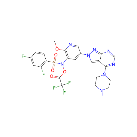 COc1ncc(-n2cc3c(N4CCNCC4)ncnc3n2)cc1N(OC(=O)C(F)(F)F)S(=O)(=O)c1ccc(F)cc1F